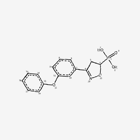 O=P(O)(O)C1CC(c2cccc(Oc3ccccc3)c2)=NO1